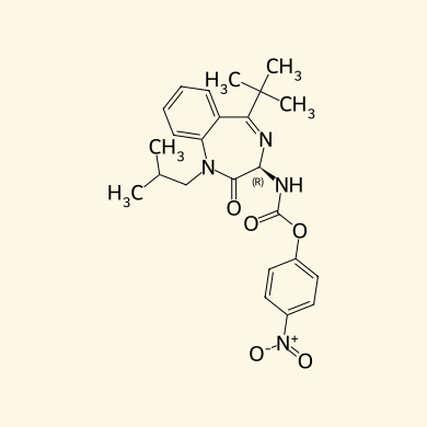 CC(C)CN1C(=O)[C@H](NC(=O)Oc2ccc([N+](=O)[O-])cc2)N=C(C(C)(C)C)c2ccccc21